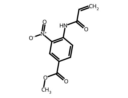 C=CC(=O)Nc1ccc(C(=O)OC)cc1[N+](=O)[O-]